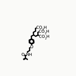 C=C(C)C(=O)NCCCOc1ccc(CC(CCCC(=O)O)CC(CC(=O)O)C(=O)O)cc1